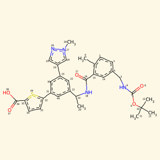 Cc1ccc(CNC(=O)OC(C)(C)C)cc1C(=O)NC(C)c1cc(-c2cnn(C)c2)cc(-c2ccc(C(=O)O)s2)c1